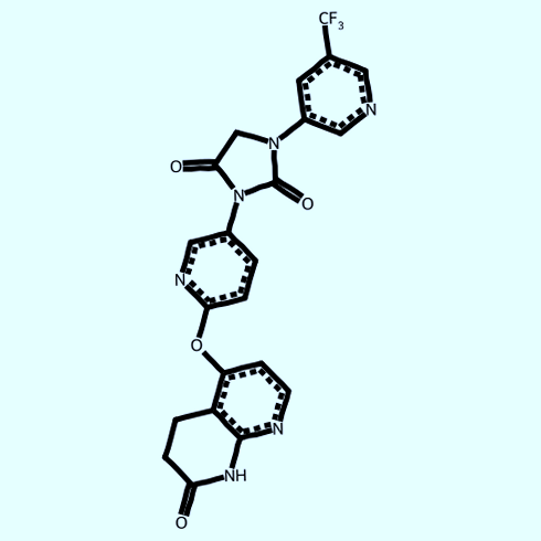 O=C1CCc2c(Oc3ccc(N4C(=O)CN(c5cncc(C(F)(F)F)c5)C4=O)cn3)ccnc2N1